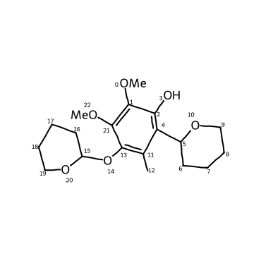 COc1c(O)c(C2CCCCO2)c(C)c(OC2CCCCO2)c1OC